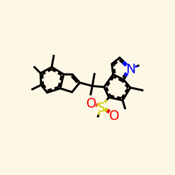 Cc1cc2c(c(C)c1C)C=C(C(C)(C)c1c(S(C)(=O)=O)c(C)c(C)c3c1ccn3C)C2